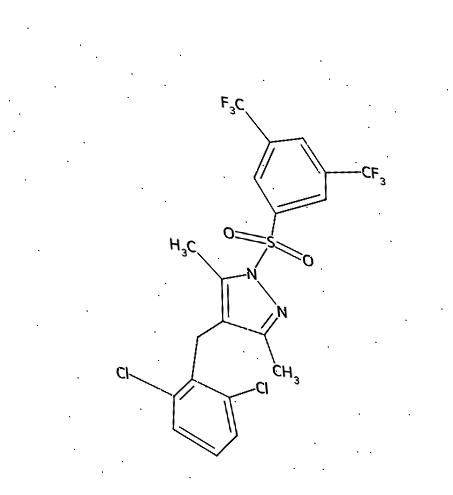 Cc1nn(S(=O)(=O)c2cc(C(F)(F)F)cc(C(F)(F)F)c2)c(C)c1Cc1c(Cl)cccc1Cl